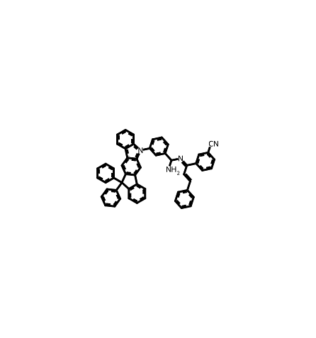 N#Cc1cccc(C(/C=C/c2ccccc2)=N/C(N)c2cccc(-n3c4ccccc4c4cc5c(cc43)-c3ccccc3C5(c3ccccc3)c3ccccc3)c2)c1